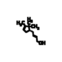 CC1=CC[C@@H](CC=CCO)C1(C)C